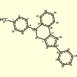 Cc1ccc(N2Cc3cn(-c4ccccc4)nc3-c3ccccc32)cc1